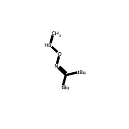 CBON=C(C(C)(C)C)C(C)(C)C